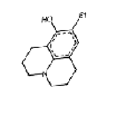 CCc1cc2c3c(c1O)CCCN3CCC2